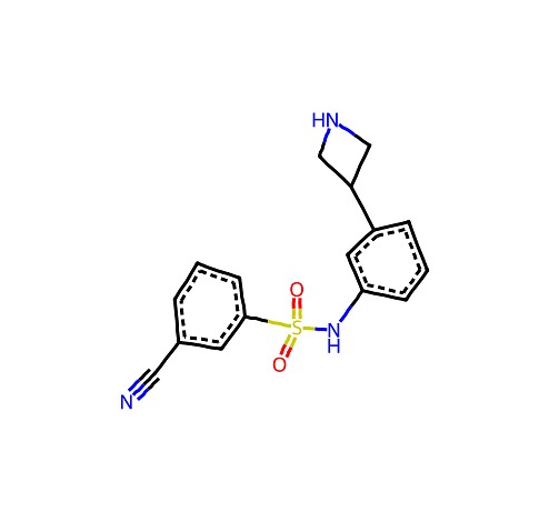 N#Cc1cccc(S(=O)(=O)Nc2cccc(C3CNC3)c2)c1